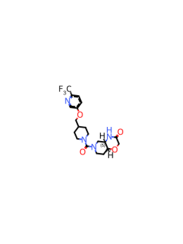 O=C1CO[C@@H]2CCN(C(=O)N3CCC(COc4ccc(C(F)(F)F)nc4)CC3)C[C@@H]2N1